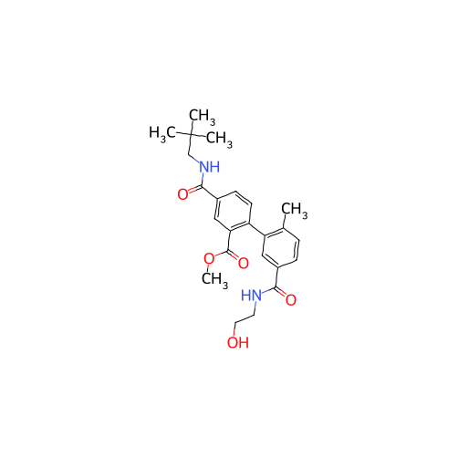 COC(=O)c1cc(C(=O)NCC(C)(C)C)ccc1-c1cc(C(=O)NCCO)ccc1C